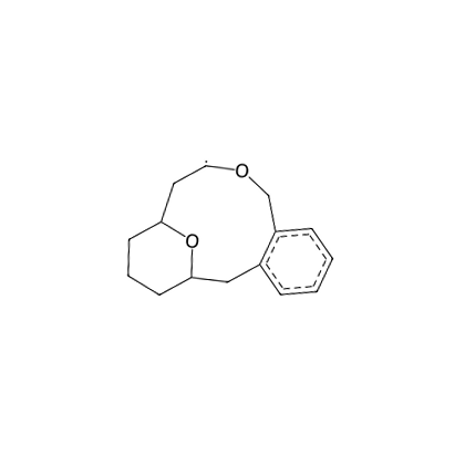 [CH]1CC2CCCC(Cc3ccccc3CO1)O2